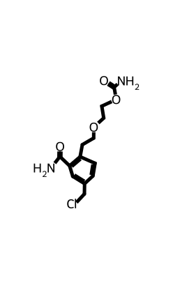 NC(=O)OCCOCCc1ccc(CCl)cc1C(N)=O